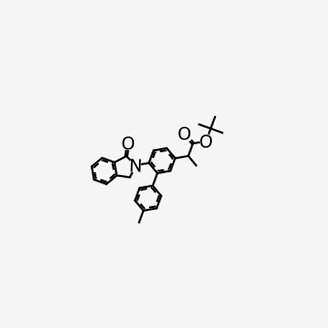 Cc1ccc(-c2cc(C(C)C(=O)OC(C)(C)C)ccc2N2Cc3ccccc3C2=O)cc1